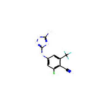 N#Cc1c(Cl)cc(Nc2n[nH]c(N)n2)cc1C(F)(F)F